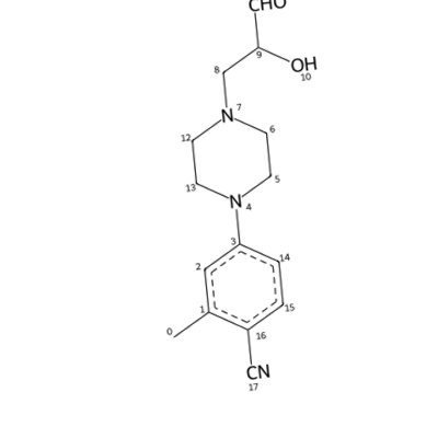 Cc1cc(N2CCN(CC(O)C=O)CC2)ccc1C#N